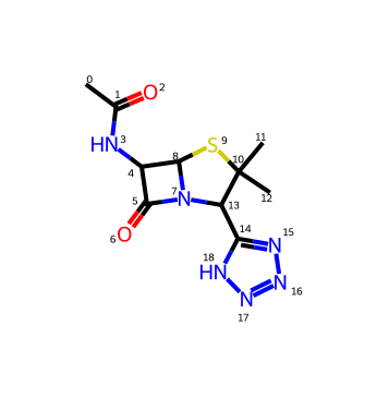 CC(=O)NC1C(=O)N2C1SC(C)(C)C2c1nnn[nH]1